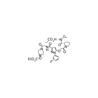 CCOC(=O)ON1CCN(C(=O)[C@H](CCC(=O)O)NC(=O)c2cc(OCC(=O)N3CCC[C@H]3C(=O)N(C)C3CC3)n(-c3cccc(F)c3)n2)CC1